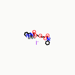 CC[n+]1ccccc1CN(C(C)=O)C(=O)OCCOCCOC(=O)N(C)C1CCCCC1.[I-]